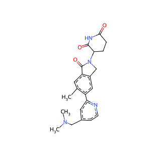 Cc1cc2c(cc1-c1cc(CN(C)C)ccn1)CN(C1CCC(=O)NC1=O)C2=O